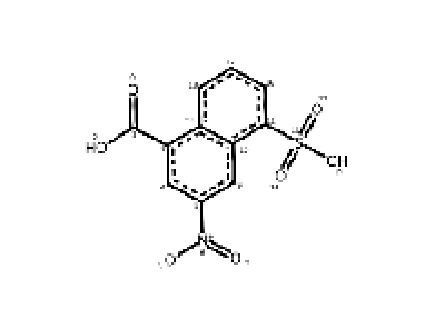 O=C(O)c1cc([N+](=O)[O-])cc2c(S(=O)(=O)O)cccc12